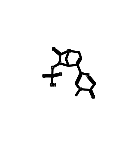 Cn1cc(C2=CCN3CC2N(OS(=O)(=O)O)C3=O)ncc1=O